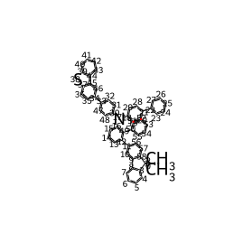 CC1(C)c2ccccc2-c2cc(-c3cccc(N(c4ccc(-c5ccccc5)cc4)c4ccc(-c5ccc6sc7ccccc7c6c5)cc4)c3-c3ccccc3)ccc21